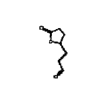 O=CCCC1CCC(=O)O1